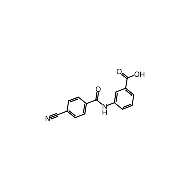 N#Cc1ccc(C(=O)Nc2cccc(C(=O)O)c2)cc1